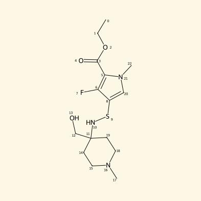 CCOC(=O)c1c(F)c(SNC2(CO)CCN(C)CC2)cn1C